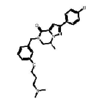 C[C@H]1CN(Cc2cccc(OCCCN(C)C)c2)C(=O)c2cc(-c3ccc(Cl)cc3)nn21